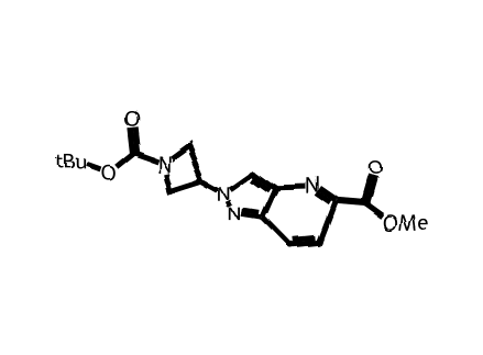 COC(=O)c1ccc2nn(C3CN(C(=O)OC(C)(C)C)C3)cc2n1